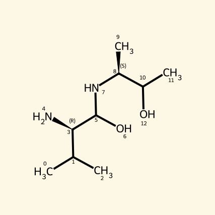 CC(C)[C@@H](N)C(O)N[C@@H](C)C(C)O